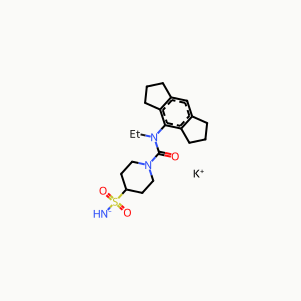 CCN(C(=O)N1CCC(S([NH-])(=O)=O)CC1)c1c2c(cc3c1CCC3)CCC2.[K+]